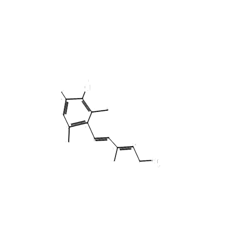 CC(/C=C/c1c(C)cc(C)c(Cl)c1C)=C\CBr